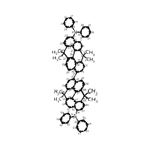 CC1(C)c2ccc3c(N(c4ccccc4)c4ccccc4)ccc4c3c2-c2c(ccc3c(-c5ccc6c7c8c(ccc57)C(C)(C)c5ccc(N(c7ccccc7)c7ccccc7)c7ccc(c-8c57)C6(C)C)ccc1c23)C4(C)C